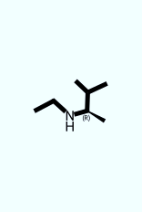 CCN[C@H](C)C(C)C